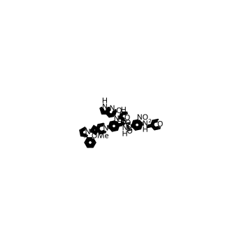 COc1ccccc1[C@@H]1CCCN1C1CC2(CCN(c3ccc(C(=O)NS(=O)(=O)c4ccc(NCC5CCOCC5)c([N+](=O)[O-])c4)c(N4c5cc6cc[nH]c6nc5O[C@@H]5COC[C@H]54)c3)CC2)C1